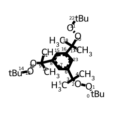 CC(C)(C)OOC(C)(C)c1cc(C(C)(C)OOC(C)(C)C)cc(C(C)(C)OOC(C)(C)C)c1